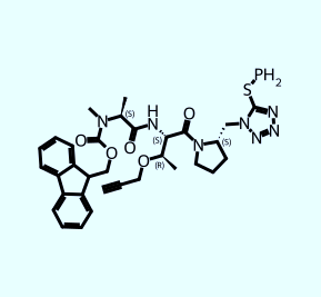 C#CCO[C@H](C)[C@H](NC(=O)[C@H](C)N(C)C(=O)OCC1c2ccccc2-c2ccccc21)C(=O)N1CCC[C@H]1Cn1nnnc1SP